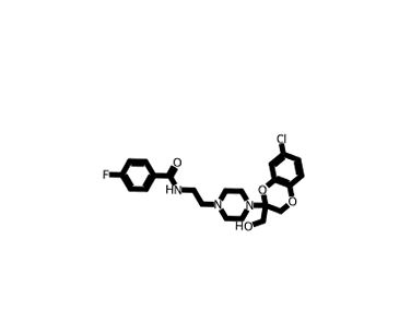 O=C(NCCN1CCN(C2(CO)COc3ccc(Cl)cc3O2)CC1)c1ccc(F)cc1